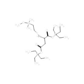 CC[Si](CC)(CC)OC(=O)CC(NCCC[Si](C)(C)OC)C(=O)O[Si](CC)(CC)CC